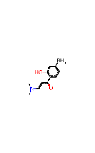 Bc1ccc(C(=O)/C=C/N(C)C)c(O)c1